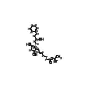 CC(Br)OC(=O)CCCC=CC[C@@H]1[C@@H](CCC(O)CCc2ccccc2)[C@H](O)C[C@@H]1O